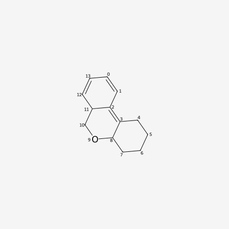 C1=CC2=C3CCCCC3OCC2C=C1